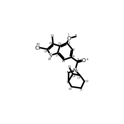 COc1cc(C(=O)N2CC3CCCC2C3C)cc2sc(Cl)c(C)c12